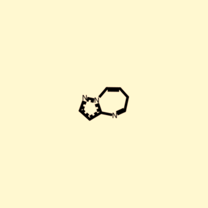 C1=Cn2nccc2N=CC1